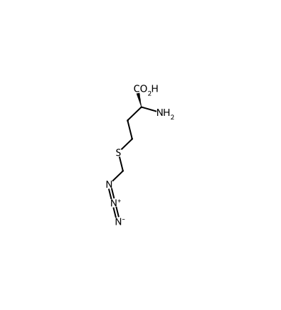 [N-]=[N+]=NCSCC[C@H](N)C(=O)O